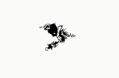 CNS(=O)(=O)Cc1ccc(Oc2cc(CNc3ncc(Cl)cn3)nc(SC)n2)cc1